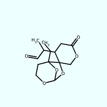 CCC12CCOC(O1)OC21COC(=O)CC1C(C)C=O